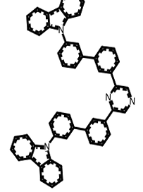 c1cc(-c2cccc(-n3c4ccccc4c4ccccc43)c2)cc(-c2cncc(-c3cccc(-c4cccc(-n5c6ccccc6c6ccccc65)c4)c3)n2)c1